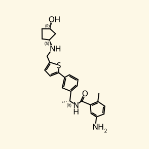 Cc1ccc(N)cc1C(=O)N[C@H](C)c1cccc(-c2ccc(CN[C@H]3CC[C@@H](O)C3)s2)c1